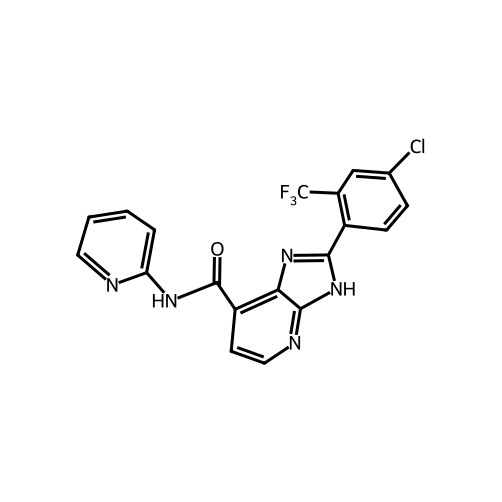 O=C(Nc1ccccn1)c1ccnc2[nH]c(-c3ccc(Cl)cc3C(F)(F)F)nc12